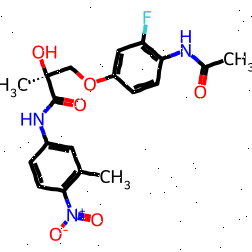 CC(=O)Nc1ccc(OC[C@](C)(O)C(=O)Nc2ccc([N+](=O)[O-])c(C)c2)cc1F